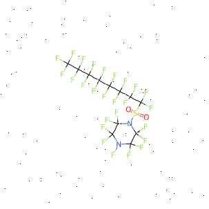 O=S(=O)(N1C(F)(F)C(F)(F)N(F)C(F)(F)C1(F)F)C(F)(F)C(F)(F)C(F)(F)C(F)(F)C(F)(F)C(F)(F)C(F)(F)C(F)(F)F